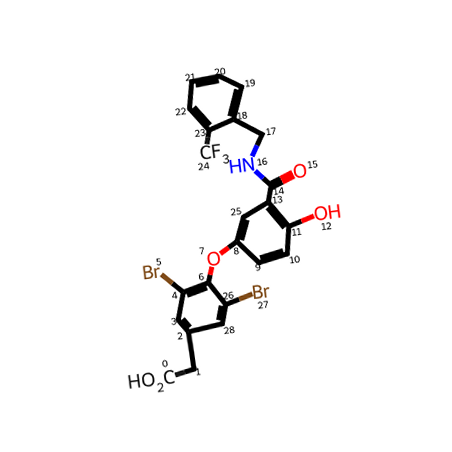 O=C(O)Cc1cc(Br)c(Oc2ccc(O)c(C(=O)NCc3ccccc3C(F)(F)F)c2)c(Br)c1